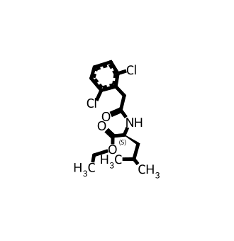 CCOC(=O)[C@H](CC(C)C)NC(=O)Cc1c(Cl)cccc1Cl